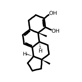 C[C@@]12CCC[C@H]1C1=CC=C3CCC(O)=C(O)[C@]3(C)[C@H]1CC2